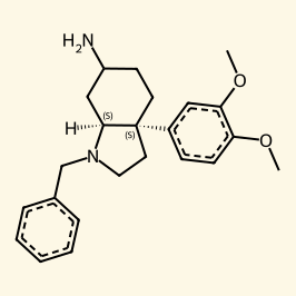 COc1ccc([C@@]23CCC(N)C[C@@H]2N(Cc2ccccc2)CC3)cc1OC